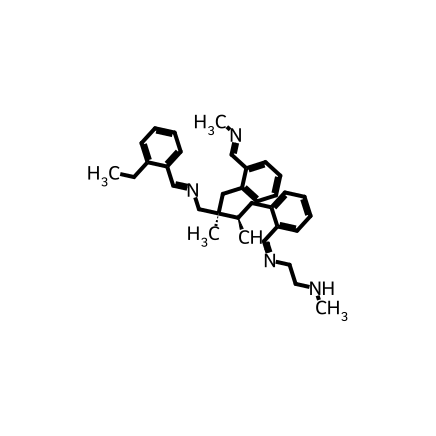 CCc1ccccc1/C=N/C[C@@](C)(Cc1ccccc1C=NC)[C@H](C)Cc1ccccc1/C=N\CCNC